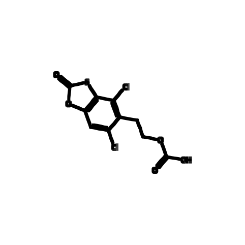 O=C(O)OCCc1c(Cl)cc2oc(=O)sc2c1Cl